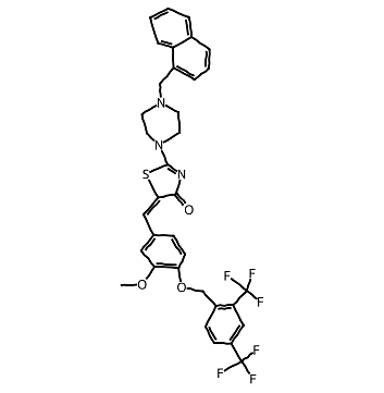 COc1cc(/C=C2/SC(N3CCN(Cc4cccc5ccccc45)CC3)=NC2=O)ccc1OCc1ccc(C(F)(F)F)cc1C(F)(F)F